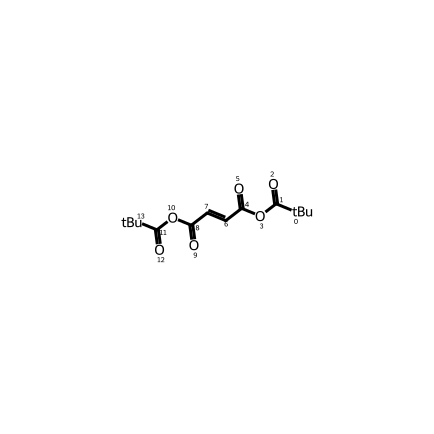 CC(C)(C)C(=O)OC(=O)/C=C/C(=O)OC(=O)C(C)(C)C